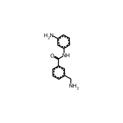 NCc1cccc(C(=O)Nc2cccc(N)c2)c1